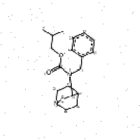 CC(C)COC(=O)N(Cc1ccccc1)C1CN2CCC1CC2